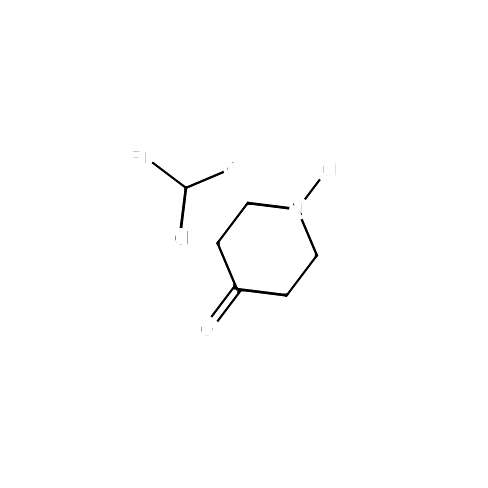 CCC(Cl)Cl.CN1CCC(=O)CC1